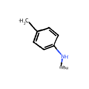 [CH2]c1ccc(NCCCC)cc1